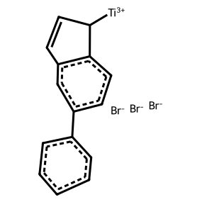 [Br-].[Br-].[Br-].[Ti+3][CH]1C=Cc2cc(-c3ccccc3)ccc21